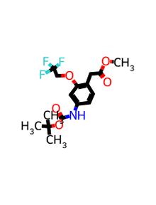 COC(=O)Cc1ccc(NC(=O)OC(C)(C)C)cc1OCC(F)(F)F